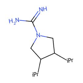 CC(C)C1CN(C(=N)N)CC1C(C)C